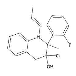 CC=CN1c2ccccc2CC(O)(Cl)C1(C)c1ccccc1F